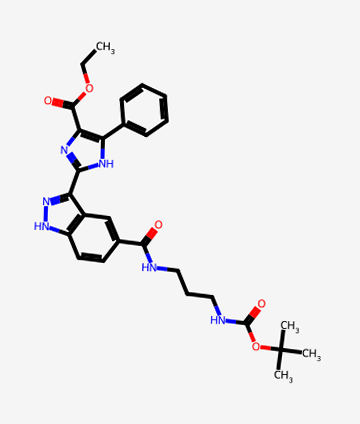 CCOC(=O)c1nc(-c2n[nH]c3ccc(C(=O)NCCCNC(=O)OC(C)(C)C)cc23)[nH]c1-c1ccccc1